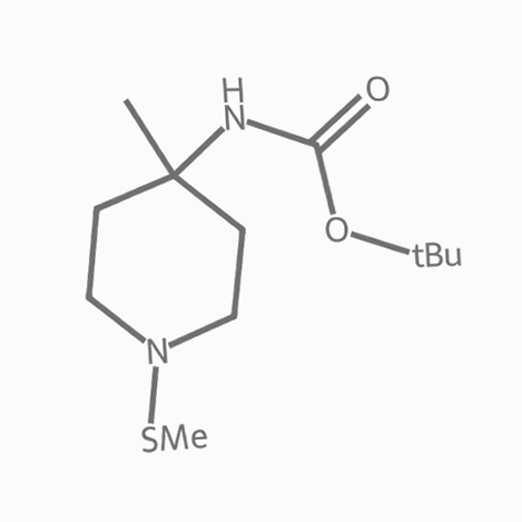 CSN1CCC(C)(NC(=O)OC(C)(C)C)CC1